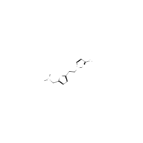 CN(C)Cc1ccc(CCn2ccc(N)n2)o1